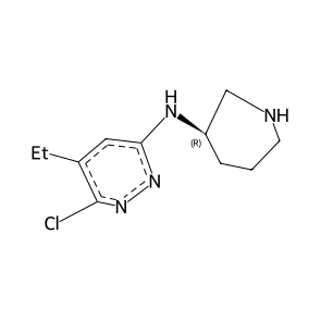 CCc1cc(N[C@@H]2CCCNC2)nnc1Cl